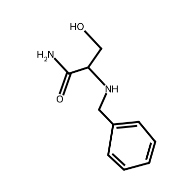 NC(=O)C(CO)NCc1ccccc1